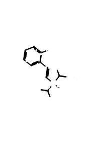 CC(C)[Si](Br)(C=Cc1ccccc1O)C(C)C